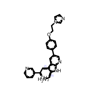 C=C(/C=c1\c(=C/N)[nH]c2ncc(-c3ccc(OCCn4ccnc4)cc3)cc12)c1cccnc1